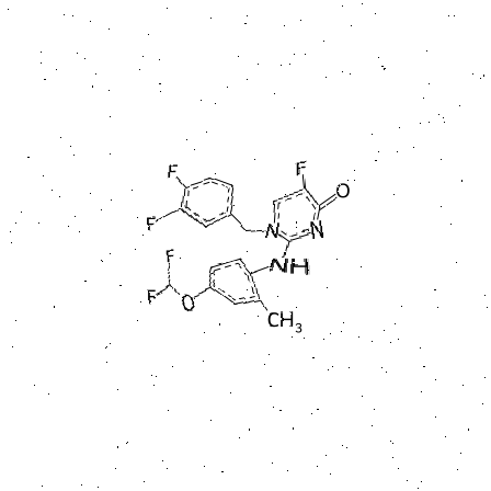 Cc1cc(OC(F)F)ccc1Nc1nc(=O)c(F)cn1Cc1ccc(F)c(F)c1